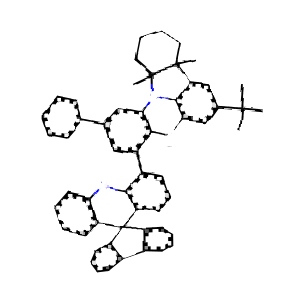 CC(C)(C)c1cc2c3c(c1)C1(C)CCCCC1(C)N3c1cc(-c3ccccc3)cc(-c3cccc4c3Nc3ccccc3C43c4ccccc4-c4ccccc43)c1B2